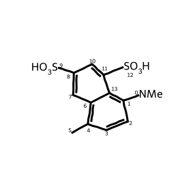 CNc1ccc(C)c2cc(S(=O)(=O)O)cc(S(=O)(=O)O)c12